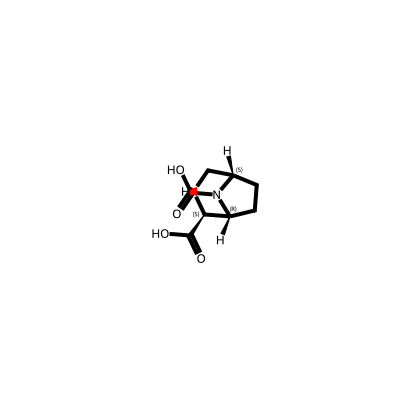 O=C(O)[C@H]1NC[C@@H]2CC[C@H]1N2C(=O)O